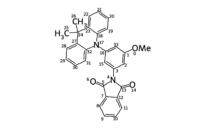 COc1cc(N2C(=O)c3ccccc3C2=O)cc(N2c3ccccc3C(C)(C)c3ccccc32)c1